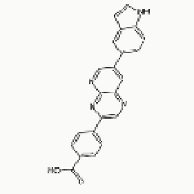 O=C(O)c1ccc(-c2cnc3cc(-c4ccc5[nH]ccc5c4)cnc3n2)cc1